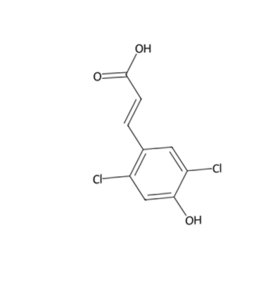 O=C(O)/C=C/c1cc(Cl)c(O)cc1Cl